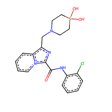 O=C(Nc1ccccc1Cl)c1nc(CN2CCS(O)(O)CC2)c2ccccn12